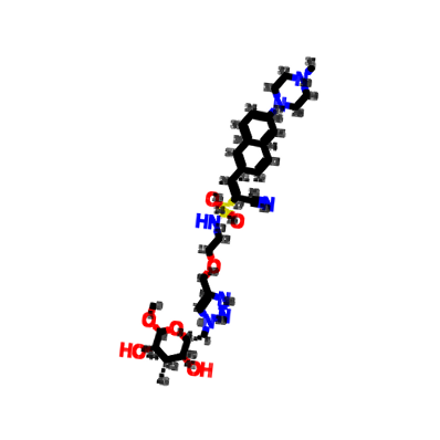 CO[C@H]1O[C@H](Cn2cc(COCCNS(=O)(=O)/C(C#N)=C/c3ccc4cc(N5CCN(C)CC5)ccc4c3)nn2)[C@@H](O)[C@H](C)[C@H]1O